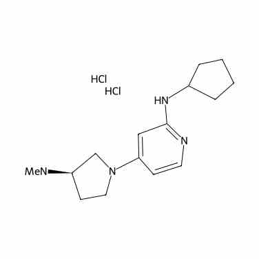 CN[C@@H]1CCN(c2ccnc(NC3CCCC3)c2)C1.Cl.Cl